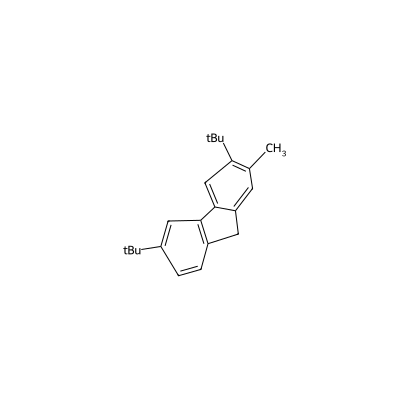 Cc1cc2c(cc1C(C)(C)C)-c1cc(C(C)(C)C)ccc1C2